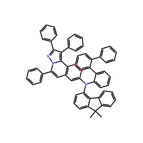 CC1(C)c2ccccc2-c2c(N(c3ccc4c(c3)cc(-c3ccccc3)n3nc(-c5ccccc5)c(-c5ccccc5)c43)c3ccccc3-c3ccccc3-c3ccccc3)cccc21